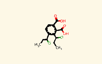 CCC(Cl)c1ccc(C(=O)O)c(C(=O)O)c1C(Cl)CC